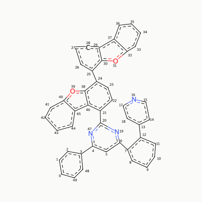 c1ccc(-c2cc(-c3ccccc3-c3ccncc3)nc(-c3ccc(-c4cccc5c4oc4ccccc45)c4oc5ccccc5c34)n2)cc1